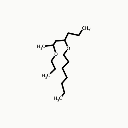 [CH2]CCC(CC(C)OCCC)OCCCCCCC